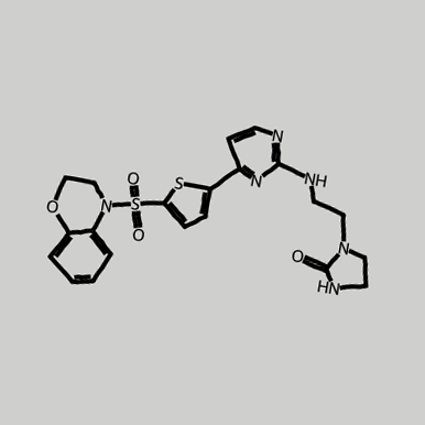 O=C1NCCN1CCNc1nccc(-c2ccc(S(=O)(=O)N3CCOc4ccccc43)s2)n1